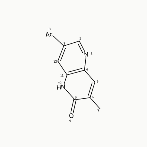 CC(=O)c1cnc2cc(C)c(=O)[nH]c2c1